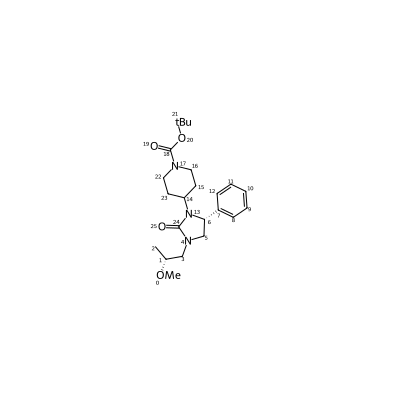 CO[C@H](C)CN1C[C@@H](c2ccccc2)N(C2CCN(C(=O)OC(C)(C)C)CC2)C1=O